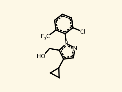 OCc1c(C2CC2)cnn1-c1c(Cl)cccc1C(F)(F)F